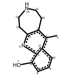 Cc1c2c(nc3c(O)cccc13)CCNCC2